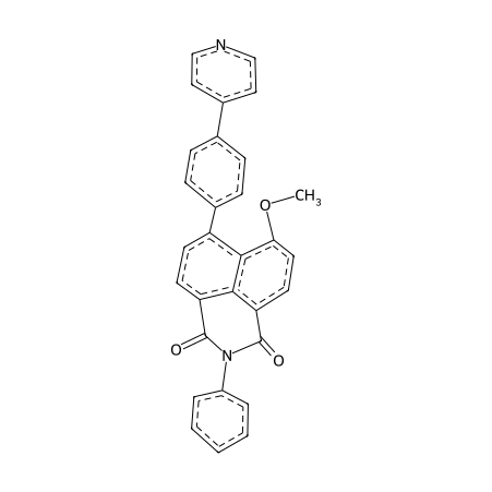 COc1ccc2c3c(ccc(-c4ccc(-c5ccncc5)cc4)c13)C(=O)N(c1ccccc1)C2=O